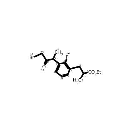 CCOC(=O)C(C)Cc1cccc(C(C)C(=O)CBr)c1F